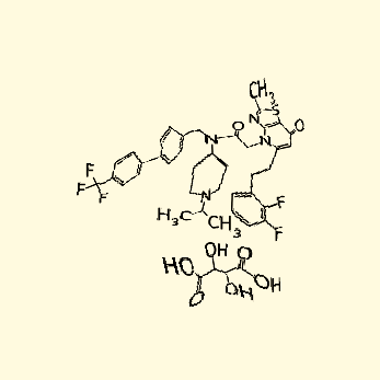 Cc1nc2c(s1)c(=O)cc(CCc1cccc(F)c1F)n2CC(=O)N(Cc1ccc(-c2ccc(C(F)(F)F)cc2)cc1)C1CCN(C(C)C)CC1.O=C(O)C(O)C(O)C(=O)O